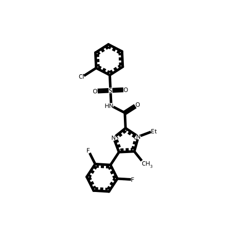 CCn1c(C(=O)NS(=O)(=O)c2ccccc2Cl)nc(-c2c(F)cccc2F)c1C